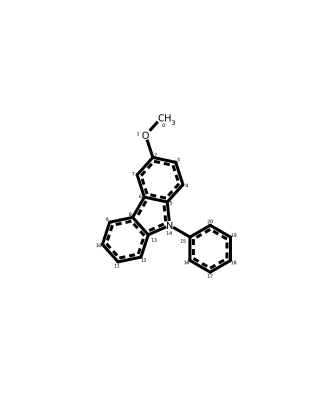 COc1ccc2c(c1)c1ccccc1n2-c1ccccc1